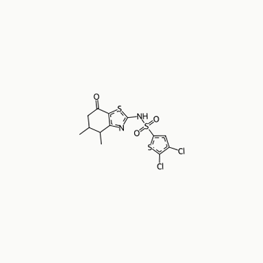 CC1CC(=O)c2sc(NS(=O)(=O)c3cc(Cl)c(Cl)s3)nc2C1C